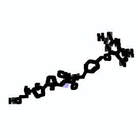 CN(CCO)c1ccc(-c2ccc(/C=C(\C#N)C(=O)NCc3ccc(COc4nc(N)nc5[nH]cnc45)cc3)s2)s1